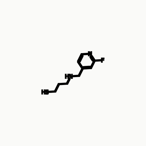 Fc1cc(CNCCCS)ccn1